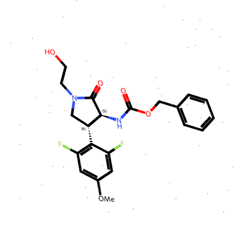 COc1cc(F)c([C@@H]2CN(CCO)C(=O)[C@H]2NC(=O)OCc2ccccc2)c(F)c1